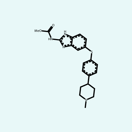 COC(=O)Nc1nc2cc(Sc3ccc(C4CCN(C)CC4)cc3)ccc2[nH]1